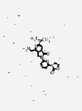 CN(C)c1cc2c(c(CN)n1)CN(c1cccc(N3CCOC3=O)n1)C2=O